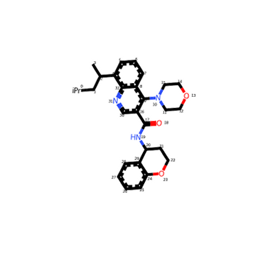 CC(C)CC(C)c1cccc2c(N3CCOCC3)c(C(=O)NC3CCOc4ccccc43)cnc12